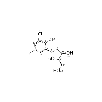 Cc1cc(Cl)c(Cl)c([C@H]2C[C@@H](O)[C@@H](CO)O2)c1